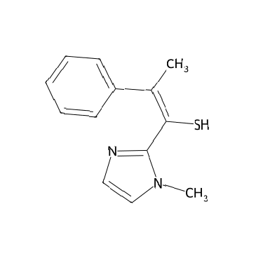 C/C(=C(\S)c1nccn1C)c1ccccc1